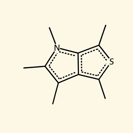 Cc1sc(C)c2c1c(C)c(C)n2C